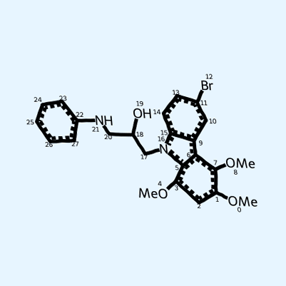 COc1cc(OC)c2c(c1OC)c1cc(Br)ccc1n2CC(O)CNc1ccccc1